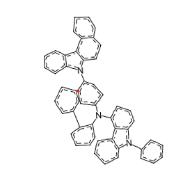 c1ccc(-c2ccccc2N(c2ccc(-n3c4ccccc4c4c5ccccc5ccc43)cc2)c2cccc3c2c2ccccc2n3-c2ccccc2)cc1